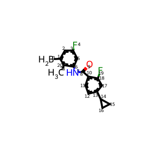 Bc1cc(F)cc(NC(=O)c2ccc(C3CC3)cc2F)c1C